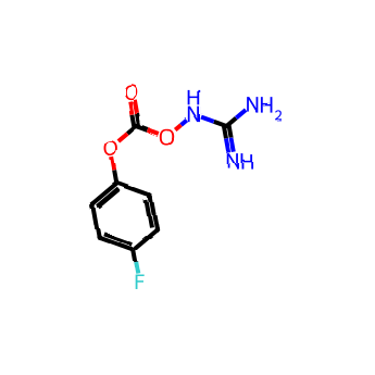 N=C(N)NOC(=O)Oc1ccc(F)cc1